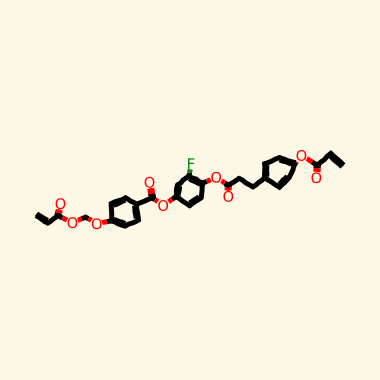 C=CC(=O)OCOc1ccc(C(=O)Oc2ccc(OC(=O)CCc3ccc(OC(=O)C=C)cc3)c(F)c2)cc1